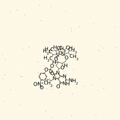 C=CCn1c(=O)n(C2O[C@@H]3CO[Si](C(C)C)(C(C)C)O[Si](C(C)C)(C(C)C)O[C@H]3[C@H]2OC(=O)Oc2ccc([N+](=O)[O-])cc2)c2nc(N)[nH]c(=O)c21